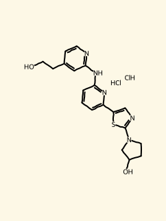 Cl.Cl.OCCc1ccnc(Nc2cccc(-c3cnc(N4CCC(O)C4)s3)n2)c1